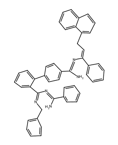 N/C(=N\C(=C/Cc1cccc2ccccc12)c1ccccc1)c1ccc(-c2ccccc2C(/N=C(\N)c2ccccc2)=N/Cc2ccccc2)cc1